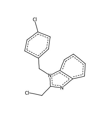 ClCc1nc2ccccc2n1Cc1ccc(Cl)cc1